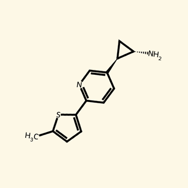 Cc1ccc(-c2ccc([C@H]3C[C@@H]3N)cn2)s1